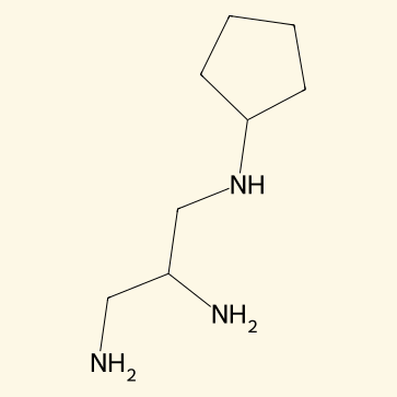 NCC(N)CNC1CCCC1